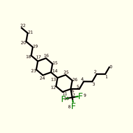 CCCCCCC1(C(F)(F)F)CCC(C2CCC(CCCCC)CC2)CC1